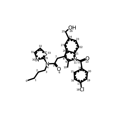 CCCCN(C(=O)Cc1c(C)n(C(=O)c2ccc(Cl)cc2)c2ccc(CO)cc12)c1nccs1